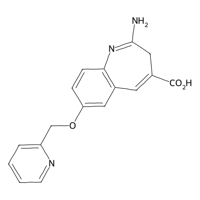 NC1=Nc2ccc(OCc3ccccn3)cc2C=C(C(=O)O)C1